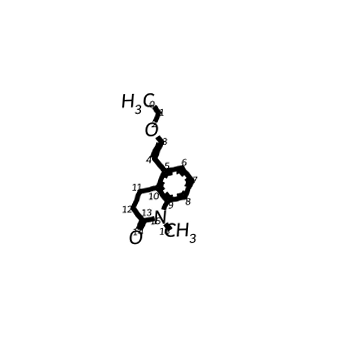 CCOC=Cc1cccc2c1CCC(=O)N2C